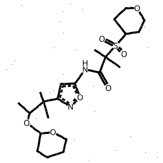 CC(OC1CCCCO1)C(C)(C)c1cc(NC(=O)C(C)(C)S(=O)(=O)C2CCOCC2)on1